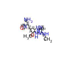 C=CCNc1nc(Nc2ccc(CCC(CCN)N3CCOCC3)cc2OC)nc2[nH]ccc12